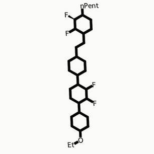 CCCCCC1CCC(CCC2CCC(C3CCC(C4CCC(OCC)CC4)C(F)C3F)CC2)C(F)[C@H]1F